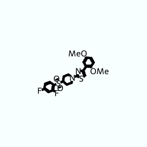 COc1ccc(OC)c(-c2csc(N3CCC(S(=O)(=O)c4ccc(F)cc4F)CC3)n2)c1